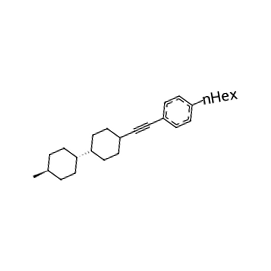 CCCCCCc1ccc(C#CC2CCC([C@H]3CC[C@H](C)CC3)CC2)cc1